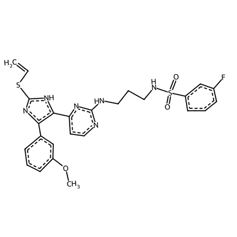 C=CSc1nc(-c2cccc(OC)c2)c(-c2ccnc(NCCCNS(=O)(=O)c3cccc(F)c3)n2)[nH]1